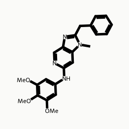 COc1cc(Nc2cc3c(cn2)nc(Cc2ccccc2)n3C)cc(OC)c1OC